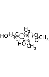 CC[C@@H]1C2C[C@H](OC(C)=O)CC[C@]2(C)C2CC[C@@]3(C)C(CC[C@@H]3CCCO)C2[C@@H]1O